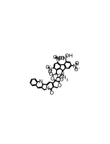 CC[C@@]1(OC(=O)[C@@H]2ON=C3c4cc([N+](=O)[O-])cc(N(O)O)c4-c4c([N+](=O)[O-])cc([N+](=O)[O-])c2c43)C(=O)OCc2c1cc1n(c2=O)Cc2cc3ccccc3nc2-1